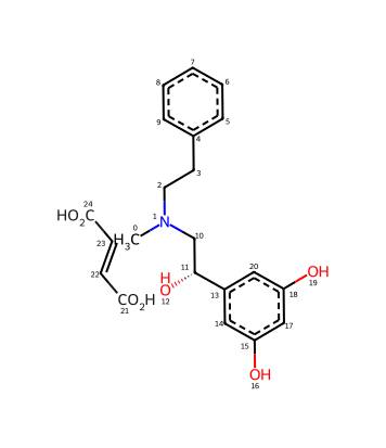 CN(CCc1ccccc1)C[C@@H](O)c1cc(O)cc(O)c1.O=C(O)/C=C/C(=O)O